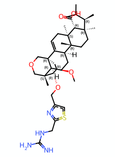 CO[C@@H]1C[C@@]23COC[C@](C)([C@@H]2CC[C@H]2C3=CC[C@@]3(C)[C@H](C(=O)O)[C@@](C)([C@H](C)C(C)C)CC[C@]23C)[C@H]1OCc1csc(CNC(=N)N)n1